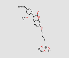 CCCCCc1ccc(-c2cc3ccc(OCCCCCC[Si](OCC)(OCC)OCC)cc3oc2=O)c(OC(F)(F)F)c1